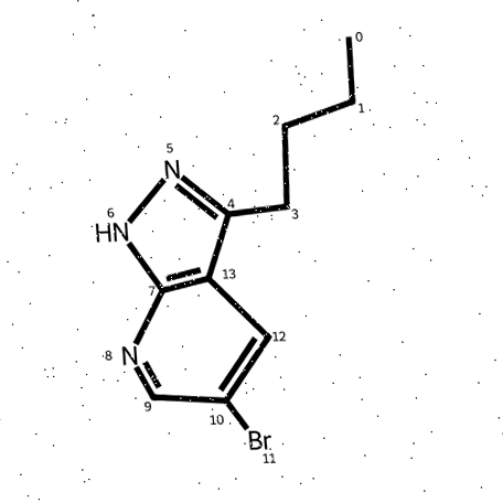 CCCCc1n[nH]c2ncc(Br)cc12